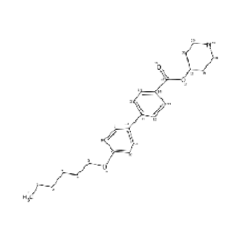 CCCCCCOc1ccc(-c2ccc(C(=O)OC3CC[N]CC3)cc2)cc1